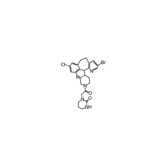 O=C(CN1CCCNC1=O)N1CCC(C2c3ncc(Br)cc3CCc3cc(Cl)cc(Br)c32)CC1